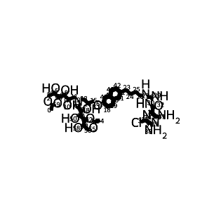 CC1OC[C@@H](O)[C@H]([C@H](O)[C@@H](O)CN(CCCOc2ccc3cc(CCCCNC(=N)NC(=O)c4nc(Cl)c(N)nc4N)ccc3c2)C[C@H](O)[C@@H](O)[C@@H]2OC(C)OC[C@H]2O)O1